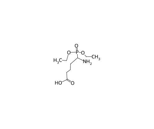 CCOP(=O)(OCC)C(N)CCCC(=O)O